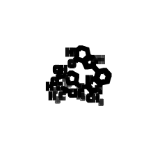 Cc1nc2cccc(-c3cc4c([nH]3)CCNC4=O)c2nc1NC1CCN(C(=O)O)[C@H]1C(C)(C)C